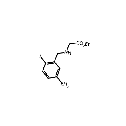 Bc1ccc(I)c(CNCC(=O)OCC)c1